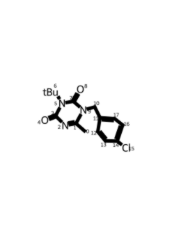 Cc1nc(=O)n(C(C)(C)C)c(=O)n1Cc1ccc(Cl)cc1